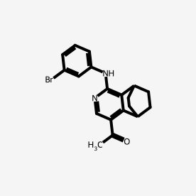 CC(=O)c1cnc(Nc2cccc(Br)c2)c2c1C1CCC2CC1